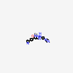 CCn1c(=O)c(-c2ccc(-c3cccnc3)cc2)cc2cnc(Nc3ccc(N4CCN(C)CC4)cc3)nc21